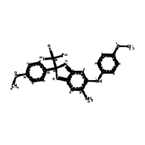 COc1ccc(Nc2nc3c(nc2N)=NC(c2ccc(OC)cc2)(C(F)(F)F)N=3)cc1